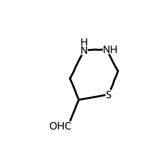 O=CC1CNNCS1